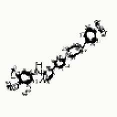 COc1cc(Nc2nccc(-c3ccc(N4CCN(c5ccc([N+](=O)[O-])cc5)CC4)nc3)n2)cc(OC)c1OC